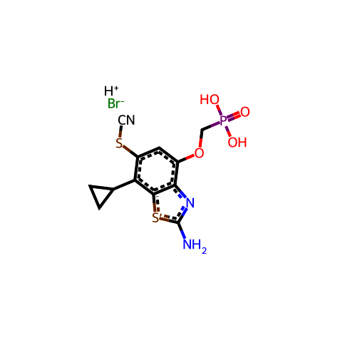 N#CSc1cc(OCP(=O)(O)O)c2nc(N)sc2c1C1CC1.[Br-].[H+]